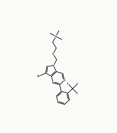 C[Si](C)(C)CCOCn1cc(Br)c2nc(-c3ccccc3C(F)(F)F)ncc21